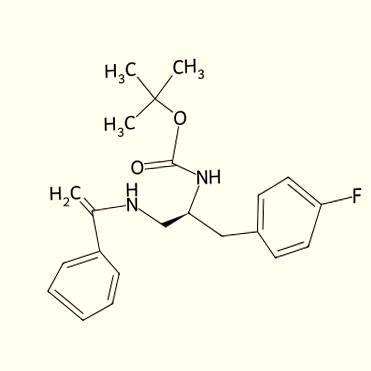 C=C(NC[C@H](Cc1ccc(F)cc1)NC(=O)OC(C)(C)C)c1ccccc1